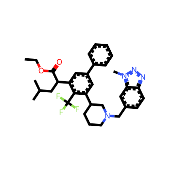 CCOC(=O)C(CC(C)C)c1cc(-c2ccccc2)cc(C2CCCN(Cc3ccc4nnn(C)c4c3)C2)c1C(F)(F)F